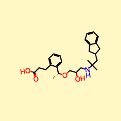 C[C@@H](OC[C@H](O)CNC(C)(C)CC1Cc2ccccc2C1)c1ccccc1CCC(=O)O